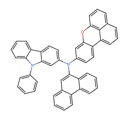 c1ccc(-n2c3ccccc3c3ccc(N(c4ccc5c(c4)Oc4cccc6cccc-5c46)c4cc5ccccc5c5ccccc45)cc32)cc1